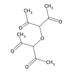 CC(=O)C(OC(C(C)=O)C(C)=O)C(C)=O